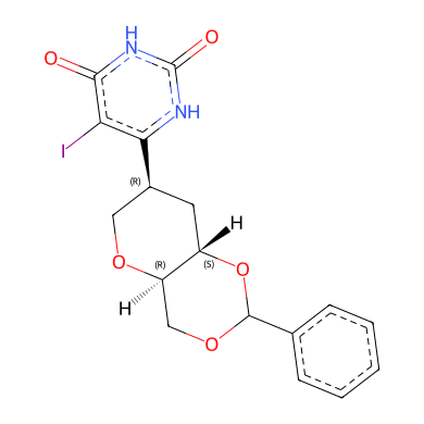 O=c1[nH]c([C@@H]2CO[C@@H]3COC(c4ccccc4)O[C@H]3C2)c(I)c(=O)[nH]1